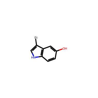 [CH2]Cc1c[nH]c2ccc(O)cc12